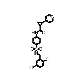 O=C(Nc1ccc(S(=O)(=O)NCc2cc(Cl)ccc2Cl)cc1)C1CC1c1ccncc1